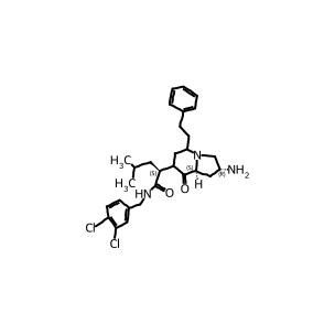 CC(C)C[C@H](C(=O)NCc1ccc(Cl)c(Cl)c1)C1CC(CCc2ccccc2)N2C[C@H](N)C[C@H]2C1=O